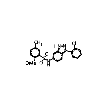 COc1ccc(C)cc1S(=O)(=O)Nc1ccc2c(-c3ccccc3Cl)n[nH]c2c1